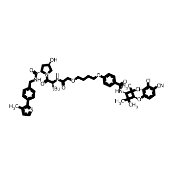 Cc1ccsc1-c1ccc(CNC(=O)[C@@H]2C[C@@H](O)CN2C(=O)[C@@H](NC(=O)COCCCCOc2ccc(C(=O)N[C@H]3C(C)(C)[C@H](Oc4ccc(C#N)c(Cl)c4)C3(C)C)cc2)C(C)(C)C)cc1